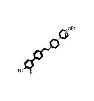 CCC[SiH]1CCC([C@H]2CC[C@H](CCc3ccc(-c4ccc(C#N)c(F)c4)cc3)CC2)CC1